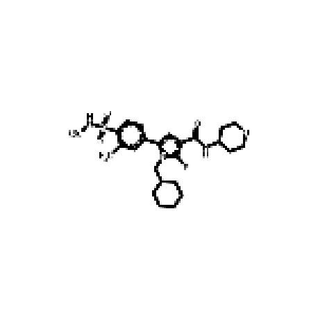 CC(C)(C)NS(=O)(=O)c1ccc(-c2cc(C(=O)NC3CCOCC3)c(F)n2CC2CCCCC2)cc1C(F)(F)F